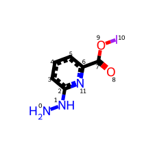 NNc1cccc(C(=O)OI)n1